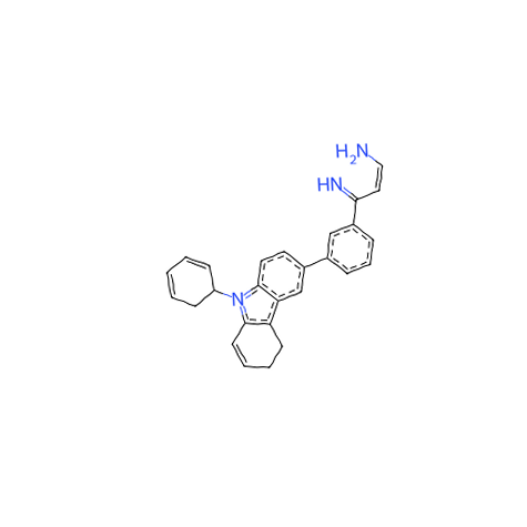 N=C(/C=C\N)c1cccc(-c2ccc3c(c2)c2c(n3C3C=CC=CC3)C=CCC2)c1